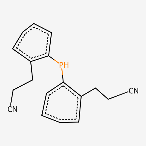 N#CCCc1ccccc1Pc1ccccc1CCC#N